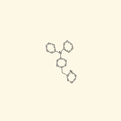 [c]1ccc(Cc2ccc(N(c3ccccc3)c3ccccc3)cc2)nc1